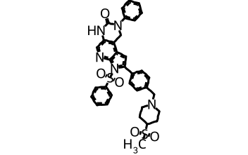 CS(=O)(=O)C1CCN(Cc2ccc(-c3cc4c5c(cnc4n3S(=O)(=O)c3ccccc3)NC(=O)N(c3ccccc3)C5)cc2)CC1